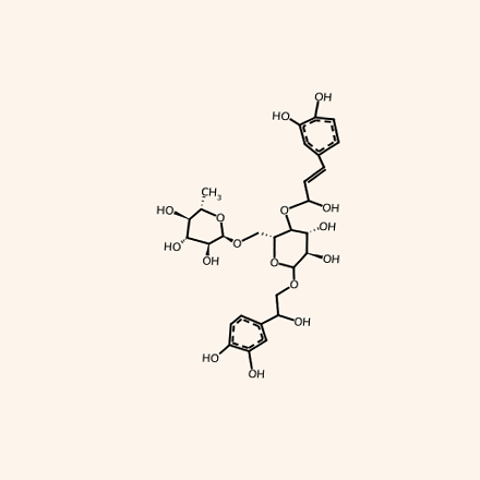 C[C@@H]1O[C@@H](OC[C@H]2OC(OCC(O)c3ccc(O)c(O)c3)[C@H](O)[C@@H](O)C2OC(O)/C=C/c2ccc(O)c(O)c2)[C@@H](O)[C@H](O)[C@H]1O